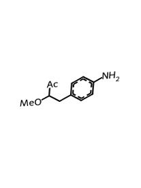 COC(Cc1ccc(N)cc1)C(C)=O